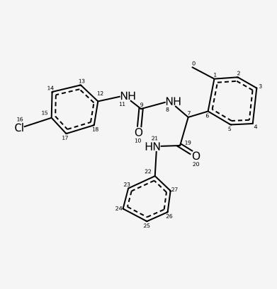 Cc1ccccc1C(NC(=O)Nc1ccc(Cl)cc1)C(=O)Nc1ccccc1